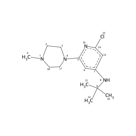 CN1CCN(c2cc(NC(C)(C)C)cc(Cl)n2)CC1